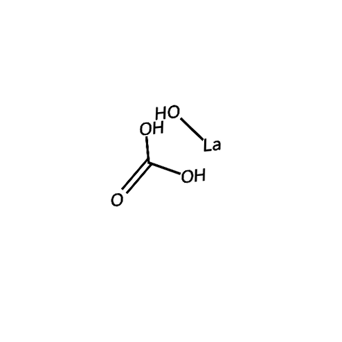 O=C(O)O.[OH][La]